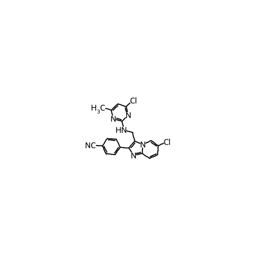 Cc1cc(Cl)nc(NCc2c(-c3ccc(C#N)cc3)nc3ccc(Cl)cn23)n1